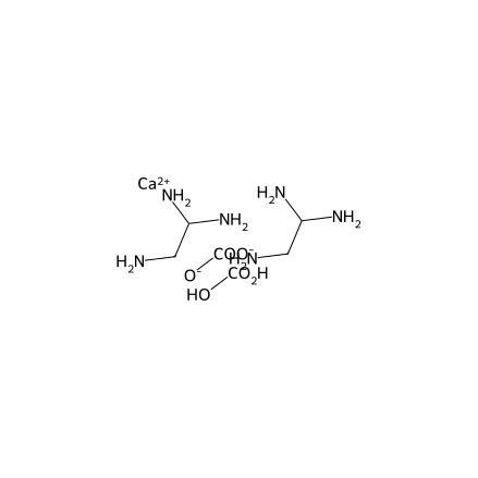 NCC(N)N.NCC(N)N.O=C(O)O.O=C([O-])[O-].[Ca+2]